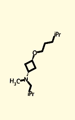 CC(C)CCCO[C@H]1C[C@H](N(C)CC(C)C)C1